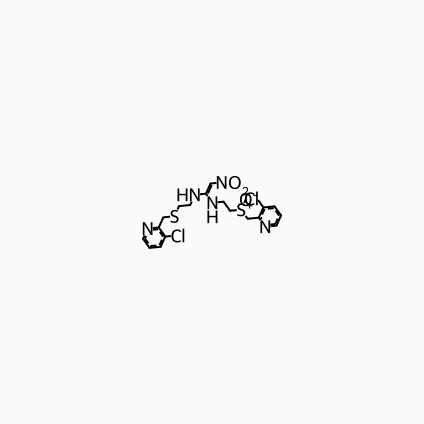 O=[N+]([O-])/C=C(/NCCSCc1ncccc1Cl)NCC[S+]([O-])Cc1ncccc1Cl